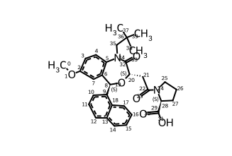 COc1ccc2c(c1)[C@H](c1cccc3ccccc13)O[C@@H](CC(=O)N1CCC[C@H]1C(=O)O)C(=O)N2CC(C)(C)C